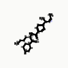 N/C=C\N(N)c1ccc(C(=O)N[C@@H](CCCN)C(=O)N2CCNCC2)cc1